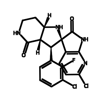 O=C1NCC[C@@H]2N[C@]3(C(=O)Nc4nc(Cl)ccc43)[C@@H](c3cccc(Cl)c3F)[C@H]12